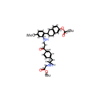 COc1ccc(C2CCc3cc(OC(=O)C(C)(C)C)ccc3C2)c(NCCC(=O)c2ccc(CC(C)(C)NCC(=O)OC(C)(C)C)cc2)c1